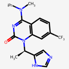 CC(C)N(C)c1nc(=O)n([C@H](C)c2cnc[nH]2)c2cc(C(F)(F)F)ccc12